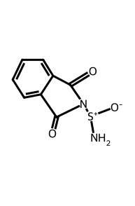 N[S+]([O-])N1C(=O)c2ccccc2C1=O